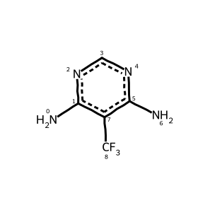 Nc1ncnc(N)c1C(F)(F)F